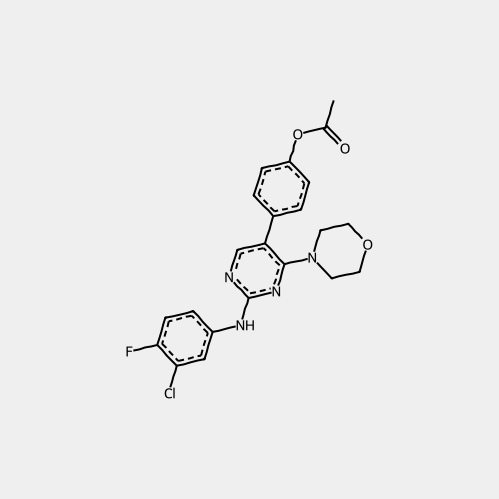 CC(=O)Oc1ccc(-c2cnc(Nc3ccc(F)c(Cl)c3)nc2N2CCOCC2)cc1